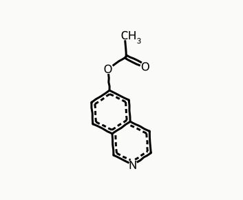 CC(=O)Oc1ccc2cnccc2c1